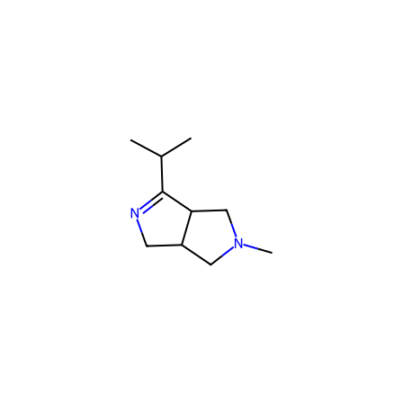 CC(C)C1=NCC2CN(C)CC12